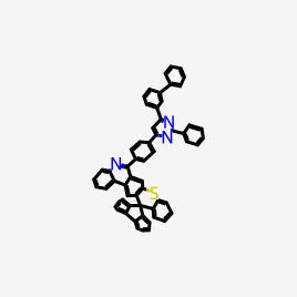 c1ccc(-c2cccc(-c3cc(-c4ccc(-c5nc6ccccc6c6cc7c(cc56)Sc5ccccc5C75c6ccccc6-c6ccccc65)cc4)nc(-c4ccccc4)n3)c2)cc1